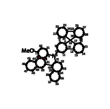 COc1ccc(N(c2ccc3c(c2)-c2ccccc2C32c3ccccc3-c3ccccc32)c2ccc3ccccc3c2-c2ccc3ccccc3c2)cc1